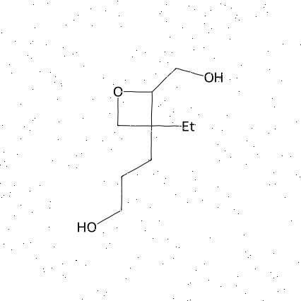 CCC1(CCCO)COC1CO